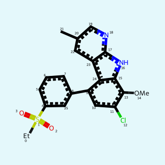 CCS(=O)(=O)c1cccc(-c2cc(Cl)c(OC)c3[nH]c4ncc(C)cc4c23)c1